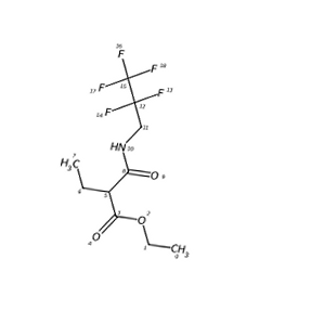 CCOC(=O)C(CC)C(=O)NCC(F)(F)C(F)(F)F